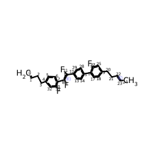 C=CCCc1ccc(/C(F)=C(\F)c2ccc(-c3ccc(CC/C=C/C)cc3F)cc2)c(F)c1